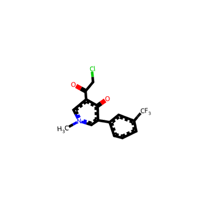 Cn1cc(C(=O)CCl)c(=O)c(-c2cccc(C(F)(F)F)c2)c1